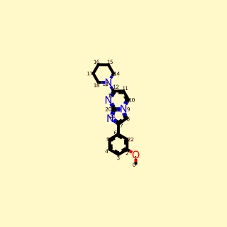 COc1cccc(-c2cn3ccc(N4CCCCC4)nc3n2)c1